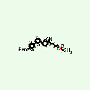 C=CC(=O)OCCCCCC1(C#N)CCCC(c2cccc(-c3ccc(C(C)CCC)cc3)c2)C1